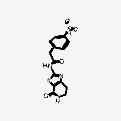 O=C(Cc1ccc([SH](=O)=O)cc1)Nc1nc2c(s1)C(=O)NCC2